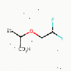 CCC(OCC(F)F)C(=O)O